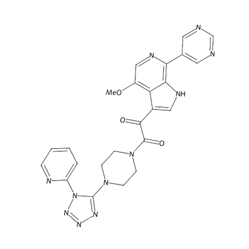 COc1cnc(-c2cncnc2)c2[nH]cc(C(=O)C(=O)N3CCN(c4nnnn4-c4ccccn4)CC3)c12